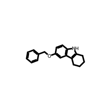 c1ccc(COc2ccc3[nH]c4c(c3c2)CCCC4)cc1